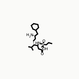 CCCS(=O)(=O)NC(CC(=O)O)[C@@H](CC[C@H](N)CC1CCCCC1)C(C)C